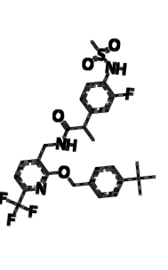 CC(C(=O)NCc1ccc(C(F)(F)F)nc1OCc1ccc(C(C)(C)C)cc1)c1ccc(NS(C)(=O)=O)c(F)c1